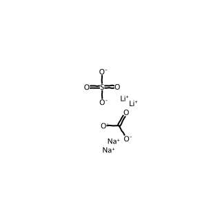 O=C([O-])[O-].O=S(=O)([O-])[O-].[Li+].[Li+].[Na+].[Na+]